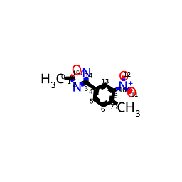 Cc1nc(-c2ccc(C)c([N+](=O)[O-])c2)no1